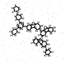 c1ccc(-c2ccc(-c3nc(-c4ccccc4)nc(-c4ccc5c(c4)oc4ccc(-c6cc(-n7c8ccccc8c8cc(-c9ccccc9)ccc87)cc7c6oc6ccccc67)cc45)n3)cc2)cc1